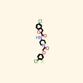 O=C(NC1CCN(C(=O)COc2ccc(Cl)c(F)c2)CC1)C1Cc2cc(Cl)ccc2O1